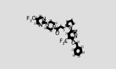 O=C(CC[C@@H]1CCCN1c1cc(C(F)(F)F)c(OCc2ccccc2)nn1)N1CCN(c2ncc(C(F)(F)F)cn2)CC1